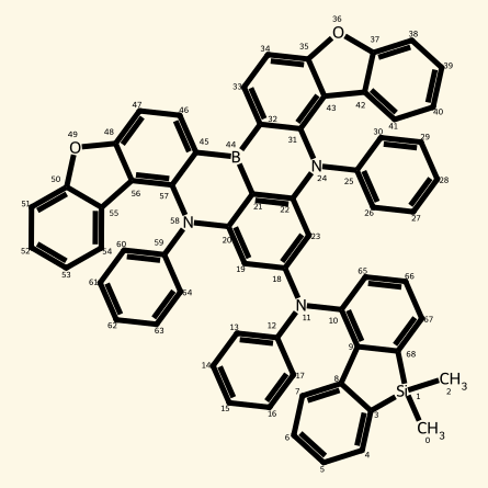 C[Si]1(C)c2ccccc2-c2c(N(c3ccccc3)c3cc4c5c(c3)N(c3ccccc3)c3c(ccc6oc7ccccc7c36)B5c3ccc5oc6ccccc6c5c3N4c3ccccc3)cccc21